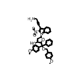 COc1ccc(COC(c2ccccc2)(c2ccc(OC)cc2)C2OC(n3c([N+](=O)[O-])c(C#CCN)c4ccccc43)CC2O)cc1